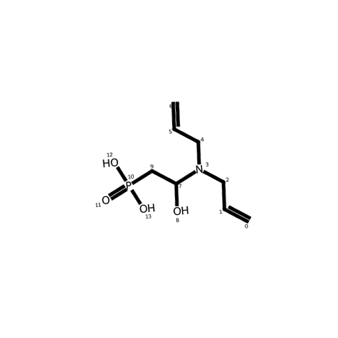 C=CCN(CC=C)C(O)CP(=O)(O)O